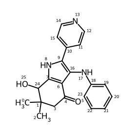 CC1(C)CC(=O)c2c([nH]c(-c3ccncc3)c2Nc2ccccc2)C1O